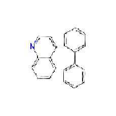 c1ccc(-c2ccccc2)cc1.c1ccc2ncccc2c1